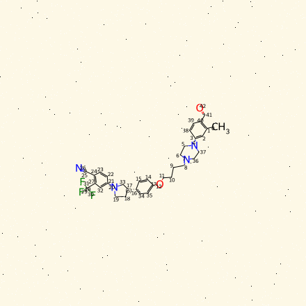 Cc1cc(N2CCN(CCCCOc3ccc([C@@H]4CCN(c5ccc(C#N)c(C(F)(F)F)c5)C4)cc3)CC2)ccc1C=O